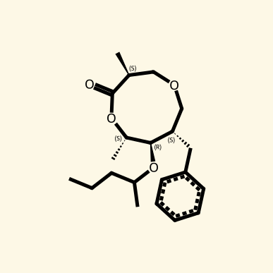 CCCC(C)O[C@@H]1[C@@H](Cc2ccccc2)COC[C@H](C)C(=O)O[C@H]1C